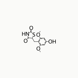 COc1cc(O)cc(OC)c1CC1SC(=O)NC1=O